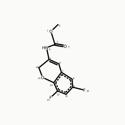 COC(=O)NC1=Cc2cc(F)cc(F)c2OC1